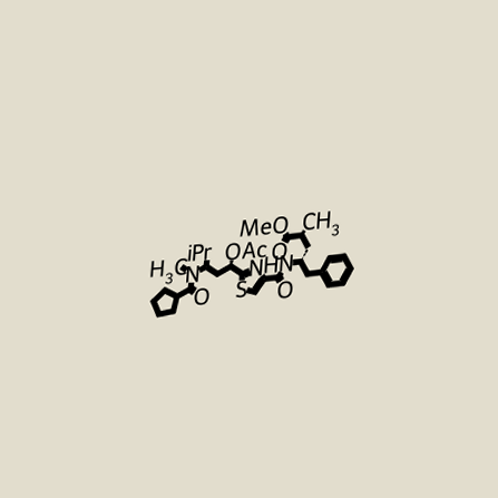 COC(=O)[C@@H](C)C[C@H](Cc1ccccc1)NC(=O)c1csc([C@@H](CC(C(C)C)N(C)C(=O)C2CCCC2)OC(C)=O)n1